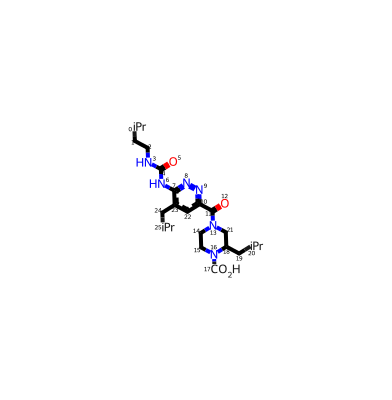 CC(C)CCNC(=O)Nc1nnc(C(=O)N2CCN(C(=O)O)C(CC(C)C)C2)cc1CC(C)C